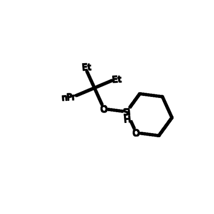 CCCC(CC)(CC)O[SiH]1CCCCO1